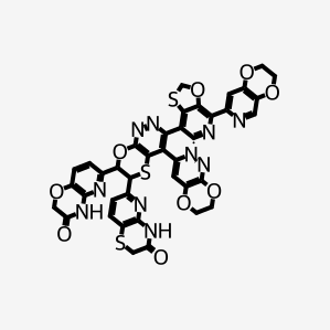 O=C1COc2ccc(C3Oc4nnc(-c5[c]nc(-c6cc7c(cn6)OCCO7)c6c5SCO6)c(-c5cc6c(nn5)OCCO6)c4SC3c3ccc4c(n3)NC(=O)CS4)nc2N1